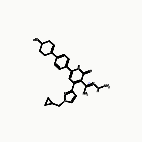 CCCC1CC=C(c2ccc(-c3cc(-c4ccn(CC5CC5)n4)c(/C(N)=N/NN)c(=O)[nH]3)cc2)CC1